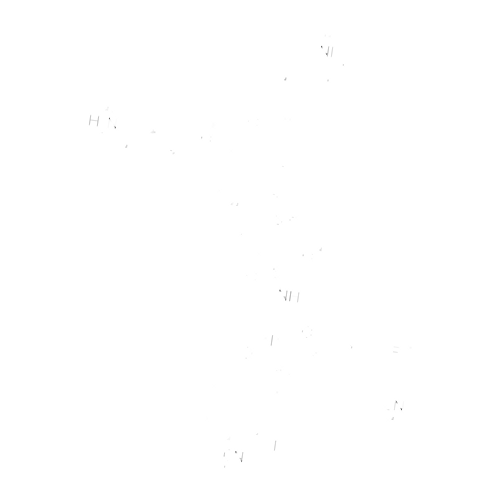 Cc1c(S(=O)(=O)NCP(=O)(Oc2ccc(C#N)c(F)c2)Oc2ccc(C#N)c(F)c2)sc2cc(OCCCN)c(OCCCN)cc12